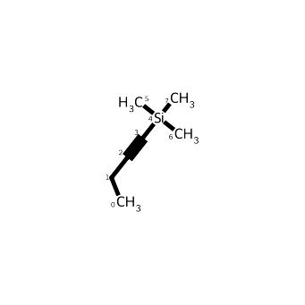 C[CH]C#C[Si](C)(C)C